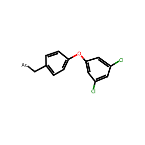 CC(=O)Cc1ccc(Oc2cc(Cl)cc(Cl)c2)cc1